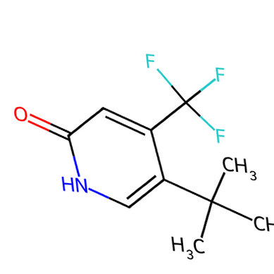 CC(C)(C)c1c[nH]c(=O)cc1C(F)(F)F